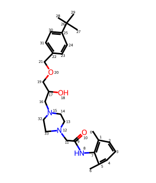 Cc1cccc(C)c1NC(=O)CN1CCN(CC(O)COCc2ccc(C(C)(C)C)cc2)CC1